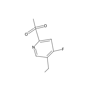 CCc1cnc(S(C)(=O)=O)cc1F